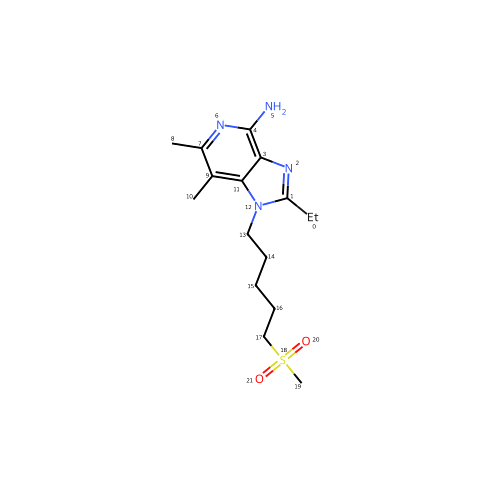 CCc1nc2c(N)nc(C)c(C)c2n1CCCCCS(C)(=O)=O